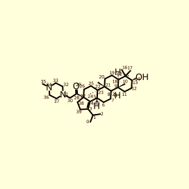 CC(C)C1=C2[C@H]3CC[C@@H]4[C@@]5(C)CC[C@H](O)C(C)(C)[C@@H]5CC[C@@]4(C)[C@]3(C)CC[C@@]2(C(=O)CN2CCN(C)CC2)CC1